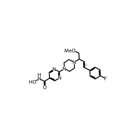 COCC(/C=C/c1ccc(F)cc1)N1CCN(c2ncc(C(=O)NO)cn2)CC1